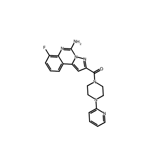 Nc1nc2c(F)cccc2c2cc(C(=O)N3CCN(c4ccccn4)CC3)nn12